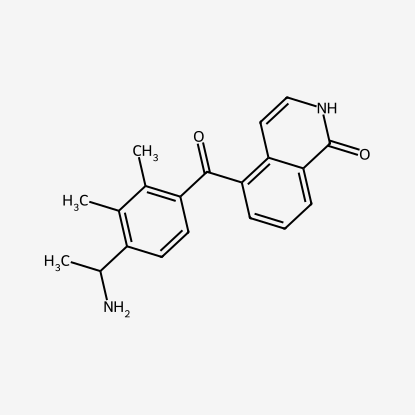 Cc1c(C(=O)c2cccc3c(=O)[nH]ccc23)ccc(C(C)N)c1C